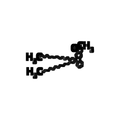 CCCCCCCCCCCCCCC1(CCCCCCCCCCCCCC)c2ccccc2-c2cc3c(cc21)C(=O)C(C)C3